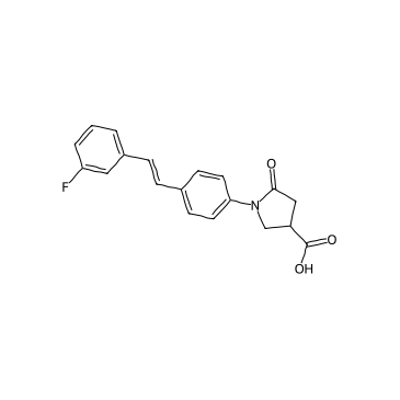 O=C(O)C1CC(=O)N(c2ccc(C=Cc3cccc(F)c3)cc2)C1